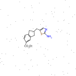 CCOC(=O)c1ccc2c(c1)CC(Cc1cnc(N)s1)C2